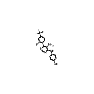 Nc1c(Nc2ccc(O)cc2)ncnc1-c1ccc(C(F)(F)F)cc1F